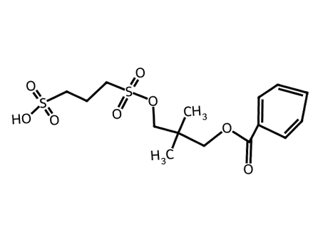 CC(C)(COC(=O)c1ccccc1)COS(=O)(=O)CCCS(=O)(=O)O